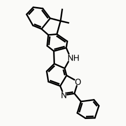 CC1(C)c2ccccc2-c2cc3c(cc21)[nH]c1c3ccc2nc(-c3ccccc3)oc21